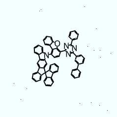 c1ccc(-c2cccc(-c3nc(-c4ccccc4)nc(-c4ccc(-n5c6ccccc6c6cc7c(cc65)C5(c6ccccc6-c6ccccc65)c5ccccc5-7)c5c4oc4ccccc45)n3)c2)cc1